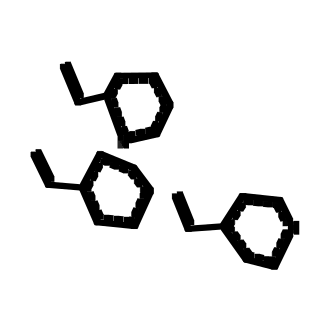 C=Cc1ccccc1.C=Cc1ccccn1.C=Cc1ccncc1